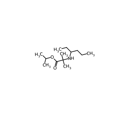 CCCC(CC)NC(C)(C)C(=O)OC(C)C